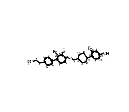 CCCc1ccc(-c2ccc(OCC3CCC(c4ccc(C)cc4F)CC3)c(F)c2F)cc1